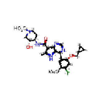 COc1cc(-c2ncnc3c(C(=O)N[C@@H]4CCN(C(=O)O)C[C@H]4O)c(C)[nH]c23)c(OCC2CC2)cc1F